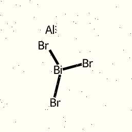 [Al].[Br][Bi]([Br])[Br]